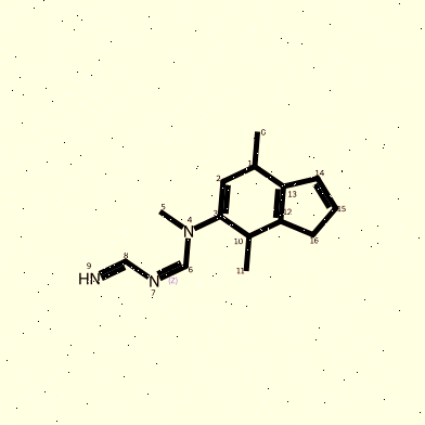 CC1C=C(N(C)/C=N\C=N)C(C)C2=C1C=CC2